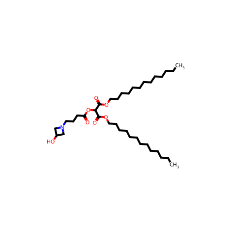 CCCCCCCCCCCCCOC(=O)C(OC(=O)CCCN1CC(O)C1)C(=O)OCCCCCCCCCCCCC